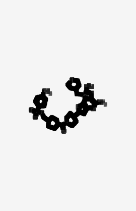 CCCCc1nc2c(N)nc3cc(C4CCN(C(=O)C5CCC(COS(=O)(=O)c6ccc(C)cc6)CC5)CC4)sc3c2n1CC1CCOCC1